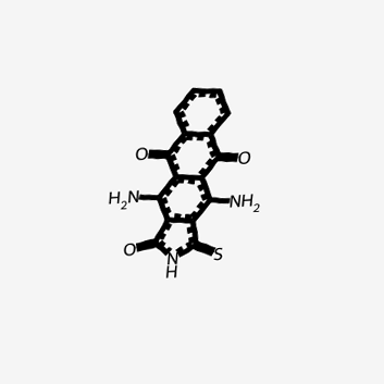 Nc1c2c(=O)[nH]c(=S)c2c(N)c2c(=O)c3ccccc3c(=O)c12